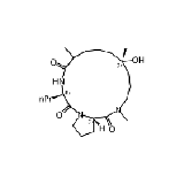 CCC[C@H]1NC(=O)C(C)CCC[C@](C)(O)CCCN(C)C(=O)[C@@H]2CCCN2C1=O